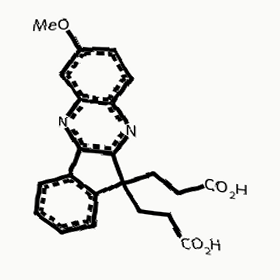 COc1ccc2nc3c(nc2c1)-c1ccccc1C3(CCC(=O)O)CCC(=O)O